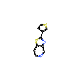 c1cc2sc(-c3ccsc3)nc2cn1